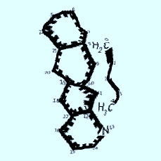 C=CC=CC.c1ccc2cc3cc4ncccc4cc3cc2c1